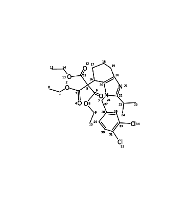 CCOC(=O)C(C(=O)OCC)(C(=O)OCC)C1CCCc2nc(C(C)C)n(Cc3ccc(Cl)c(Cl)c3)c21